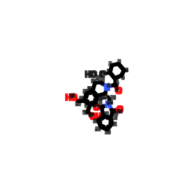 O=C(O)[C@H]1CCCC[C@H]1C(=O)N1CCc2cc(CO)c(CO)cc2[C@H]1CN1C(=O)c2ccccc2C1=O